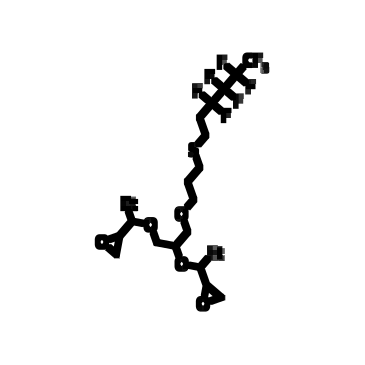 CCC(OCC(COCCCSCCC(F)(F)C(F)(F)C(F)(F)C(F)(F)F)OC(CC)C1CO1)C1CO1